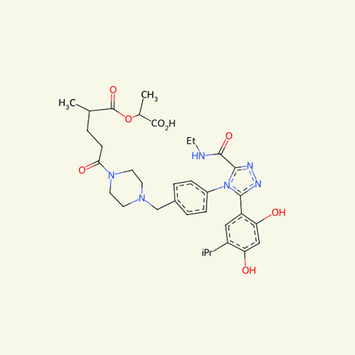 CCNC(=O)c1nnc(-c2cc(C(C)C)c(O)cc2O)n1-c1ccc(CN2CCN(C(=O)CCC(C)C(=O)OC(C)C(=O)O)CC2)cc1